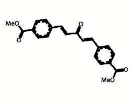 COC(=O)c1ccc(C=CC(=O)C=Cc2ccc(C(=O)OC)cc2)cc1